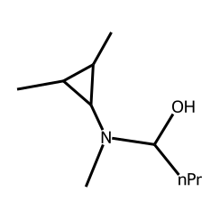 CCCC(O)N(C)C1C(C)C1C